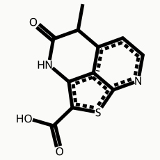 CC1C(=O)Nc2c(C(=O)O)sc3nccc1c23